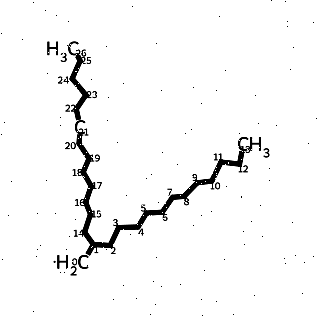 [CH2]C(CCCCCCCCCCCC)CCCCCCCCCCCCC